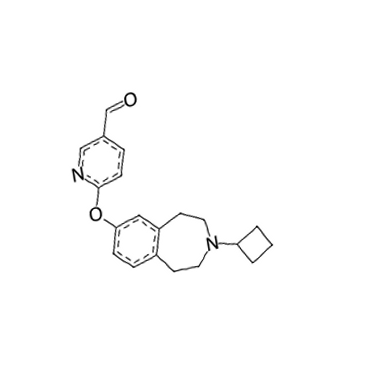 O=Cc1ccc(Oc2ccc3c(c2)CCN(C2CCC2)CC3)nc1